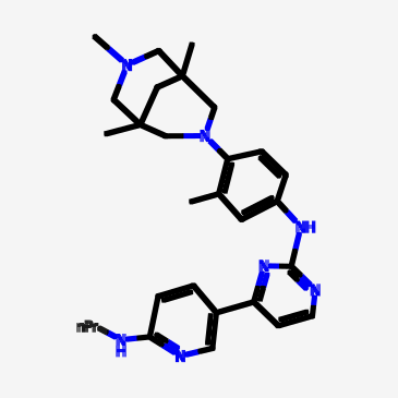 CCCNc1ccc(-c2ccnc(Nc3ccc(N4CC5(C)CN(C)CC(C)(C4)C5)c(C)c3)n2)cn1